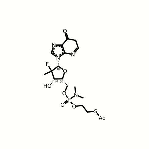 CC(=O)SCCOP(=O)(OC[C@H]1O[C@@H](n2cnc3c2N=CCC3=O)C(C)(F)[C@H]1O)N(C)C